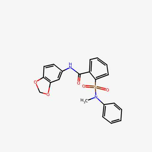 CN(c1ccccc1)S(=O)(=O)c1ccccc1C(=O)Nc1ccc2c(c1)OCO2